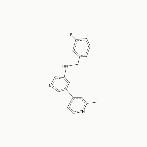 Fc1cccc(CNc2cncc(-c3ccnc(F)c3)c2)c1